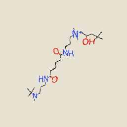 CN(CCCNC(=O)CCCCC(=O)NCCC[N+](C)(C)CC(O)CC(C)(C)C)C(C)(C)C